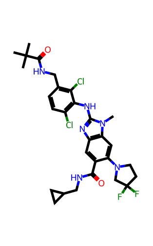 Cn1c(Nc2c(Cl)ccc(CNC(=O)C(C)(C)C)c2Cl)nc2cc(C(=O)NCC3CC3)c(N3CCC(F)(F)C3)cc21